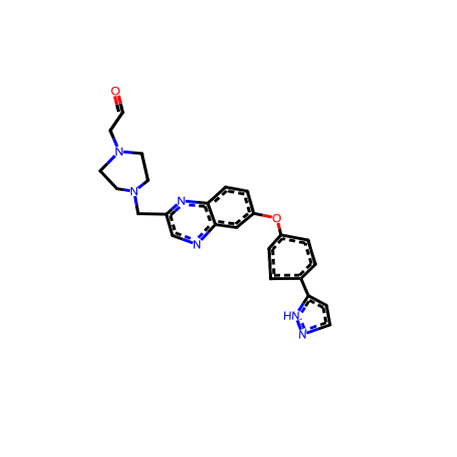 O=CCN1CCN(Cc2cnc3cc(Oc4ccc(-c5ccn[nH]5)cc4)ccc3n2)CC1